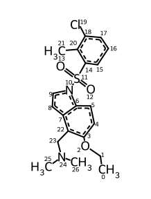 CCOc1ccc2c(ccn2S(=O)(=O)c2cccc(Cl)c2C)c1CN(C)C